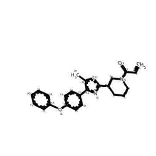 C=CC(=O)N1CCCC(c2nc(-c3ccc(Oc4ccccc4)cc3)c(C)s2)C1